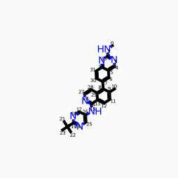 CNc1ncc2cc(-c3c(C)ccc4c(Nc5cnc(C(C)(C)C)nc5)nccc34)ccc2n1